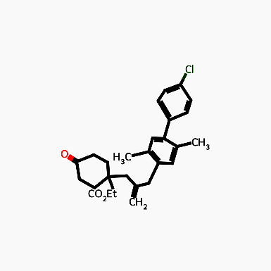 C=C(Cc1cc(C)c(-c2ccc(Cl)cc2)cc1C)CC1(C(=O)OCC)CCC(=O)CC1